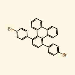 Brc1ccc(-c2ccc(-c3ccc(Br)cc3)c3c4ccccc4c4ccccc4c23)cc1